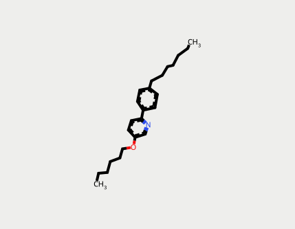 CCCCCCCc1ccc(-c2ccc(OCCCCCC)cn2)cc1